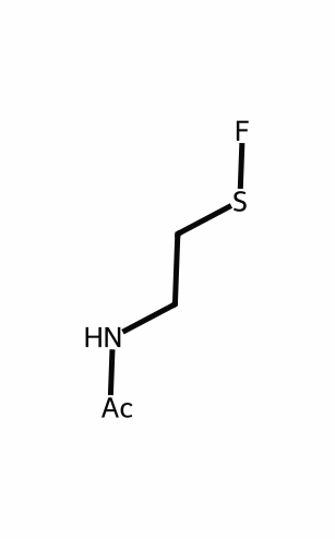 CC(=O)NCCSF